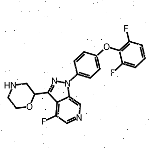 Fc1cccc(F)c1Oc1ccc(-n2nc(C3CNCCO3)c3c(F)cncc32)cc1